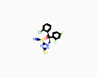 N#CSc1nc(S)nn1C[C@@]1(c2ccc(F)cc2F)O[C@H]1c1ccccc1Cl